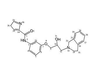 O=C(Nc1cccc(OCC(O)CN2CCc3ccccc3C2)c1)C1=CCC=N1